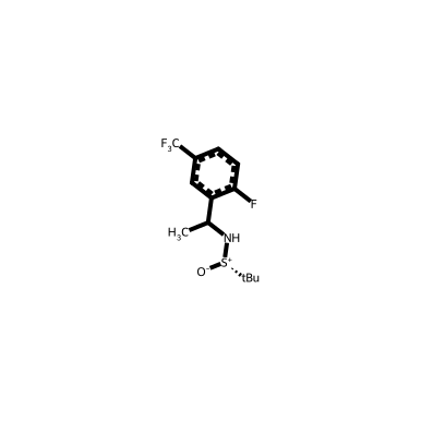 CC(N[S@@+]([O-])C(C)(C)C)c1cc(C(F)(F)F)ccc1F